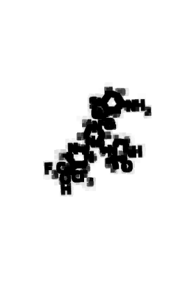 CC1(C)C(=O)NCCN1C[C@H]1CN(S(=O)(=O)C2=CC(N)=CCC2=S)CCN1c1ncc(C(O)(C(F)(F)F)C(F)(F)F)cn1